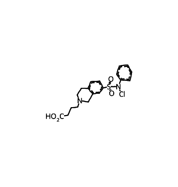 O=C(O)CCCN1CCc2ccc(S(=O)(=O)N(Cl)c3ccccc3)cc2C1